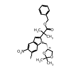 CC1(C)OC[C@@H](Cn2c(C(C)(C)C(=O)OCc3ccccc3)cc3cc([N+](=O)[O-])c(F)cc32)O1